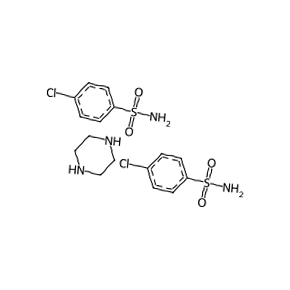 C1CNCCN1.NS(=O)(=O)c1ccc(Cl)cc1.NS(=O)(=O)c1ccc(Cl)cc1